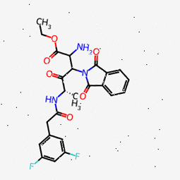 CCOC(=O)C(N)C(C(=O)[C@H](C)NC(=O)Cc1cc(F)cc(F)c1)N1C(=O)c2ccccc2C1=O